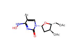 CC(=O)OC[C@H]1O[C@@H](n2cc(C(C)=O)c(NO)nc2=O)C[C@@H]1OC(C)=O